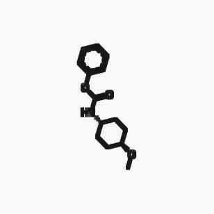 CO[C@H]1CC[C@H](NC(=O)Oc2ccccc2)CC1